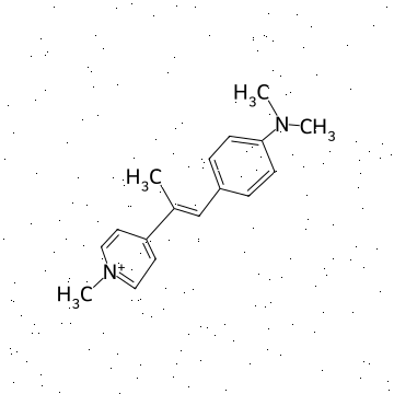 C/C(=C\c1ccc(N(C)C)cc1)c1cc[n+](C)cc1